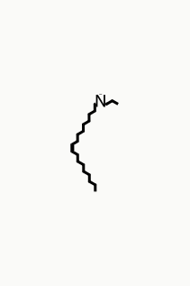 CCCCCCCC/C=C\CCCCCCCCN(C)CCC